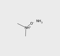 C[NH+](C)[O-].N